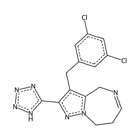 Clc1cc(Cl)cc(Cc2c(-c3nnn[nH]3)nn3c2CN=CCC3)c1